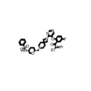 CCN(C(=O)c1cc(F)ccc1Oc1cncnc1N1CC2(CCN(C[C@@H]3CC[C@@H](NS(=O)(=O)c4ccccc4)CO3)CC2)C1)C(C)C